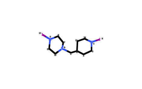 IN1CCC(CN2CCN(I)CC2)CC1